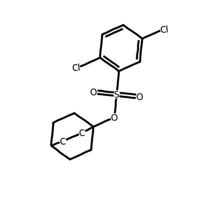 O=S(=O)(OC12CCC(CC1)CC2)c1cc(Cl)ccc1Cl